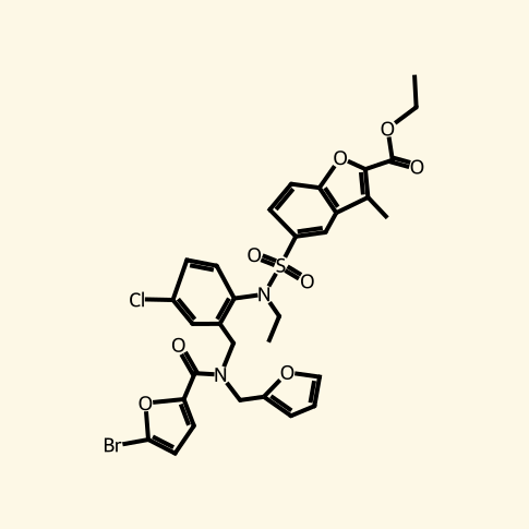 CCOC(=O)c1oc2ccc(S(=O)(=O)N(CC)c3ccc(Cl)cc3CN(Cc3ccco3)C(=O)c3ccc(Br)o3)cc2c1C